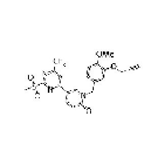 C#CCOc1cc(Cn2cc(-c3cc(C(F)(F)F)nc(S(C)(=O)=O)n3)ccc2=O)ccc1OC